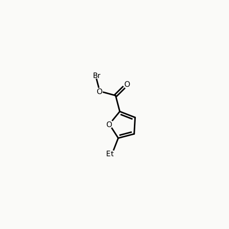 CCc1ccc(C(=O)OBr)o1